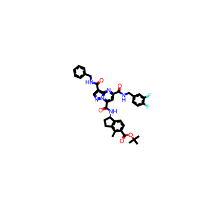 Cc1c(C(=O)OC(C)(C)C)ccc2c1CC[C@@H]2NC(=O)c1cc(C(=O)NCc2ccc(F)c(F)c2)nc2c(C(=O)NCc3ccccc3)cnn12